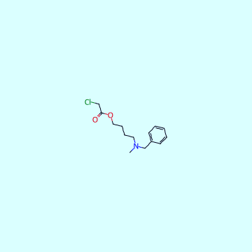 CN(CCCCOC(=O)CCl)Cc1ccccc1